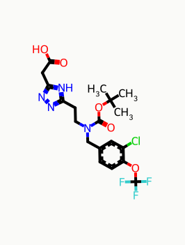 CC(C)(C)OC(=O)N(CCc1nnc(CC(=O)O)[nH]1)Cc1ccc(OC(F)(F)F)c(Cl)c1